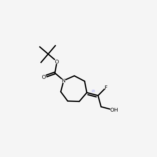 CC(C)(C)OC(=O)N1CCC/C(=C(/F)CO)CC1